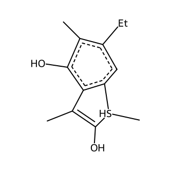 CCc1cc2c(c(O)c1C)C(C)=C(O)[SH]2C